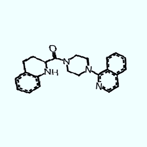 O=C(C1CCc2ccccc2N1)N1CCN(c2nccc3ccccc23)CC1